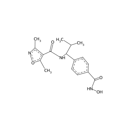 Cc1noc(C)c1C(=O)NC(c1ccc(C(=O)NO)cc1)C(C)C